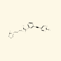 Nc1ncc(C#Cc2cccc(NC(=O)NCCCN3CCCC3=O)c2)cn1